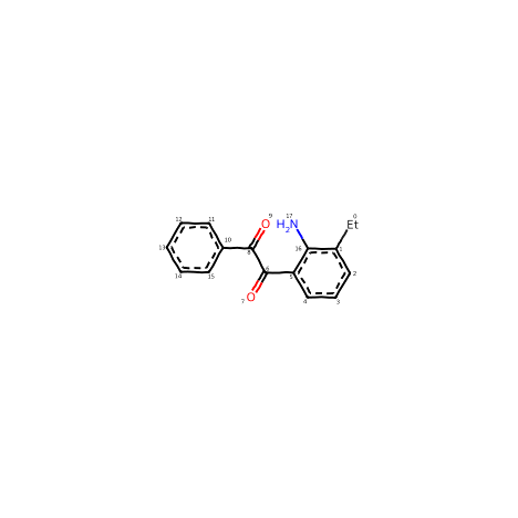 CCc1cccc(C(=O)C(=O)c2ccccc2)c1N